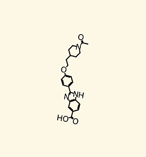 CC(=O)N1CCC(CCOc2ccc(-c3nc4cc(C(=O)O)ccc4[nH]3)cc2)CC1